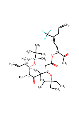 C=CC/C(=C\C[C@H](OC(=O)C[C@H](O[Si](CC)(CC)CC)C(C)(C)C(=O)[C@H](C)[C@@H](O[Si](C)(C)C(C)(C)C)[C@@H](C)C=C)C(C)=O)C(F)(F)F